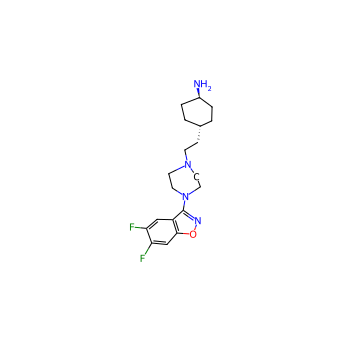 N[C@H]1CC[C@H](CCN2CCN(c3noc4cc(F)c(F)cc34)CC2)CC1